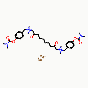 CN(C)C(=O)Oc1ccc(C[N+](C)(C)CC(=O)CCCCCCC(=O)C[N+](C)(C)Cc2ccc(OC(=O)N(C)C)cc2)cc1.[Br-].[Br-]